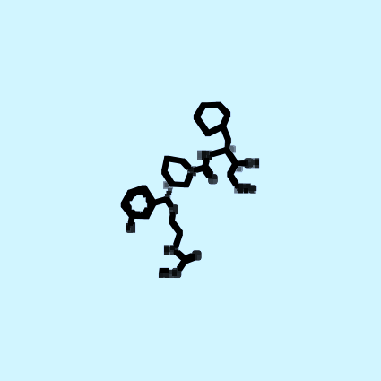 CNC[C@H](O)[C@H](CC1CCCCC1)NC(=O)N1CCC[C@@H](C(OCCNC(=O)OC)c2cccc(Cl)c2)C1